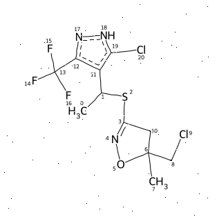 CC(SC1=NOC(C)(CCl)C1)c1c(C(F)(F)F)n[nH]c1Cl